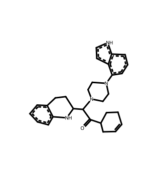 O=C(C1CC=CCC1)C(C1CCc2ccccc2N1)N1CCN(c2cccc3[nH]ccc23)CC1